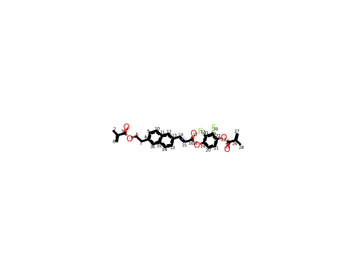 C=C(C)C(=O)OCCc1ccc2cc(/C=C/C(=O)Oc3ccc(OC(=O)C(=C)C)c(F)c3F)ccc2c1